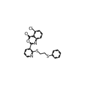 O=c1oc(-c2cccnc2SCCSc2ccccc2)nc2cccc(Cl)c12